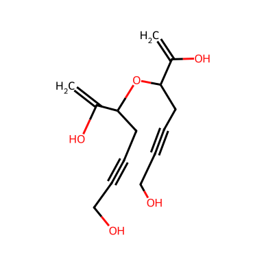 C=C(O)C(CC#CCO)OC(CC#CCO)C(=C)O